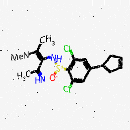 CN/C(C)=C(/N[S+]([O-])c1c(Cl)cc(C2CC=CC2)cc1Cl)C(C)=N